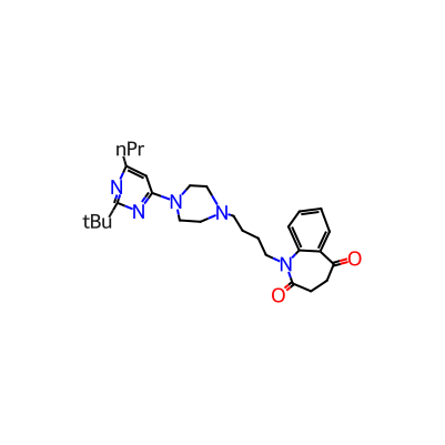 CCCc1cc(N2CCN(CCCCN3C(=O)CCC(=O)c4ccccc43)CC2)nc(C(C)(C)C)n1